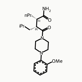 CCC[C@H](C(N)=O)[C@@H](CC(C)C)C(=O)N1CCN(c2ccccc2OC)CC1